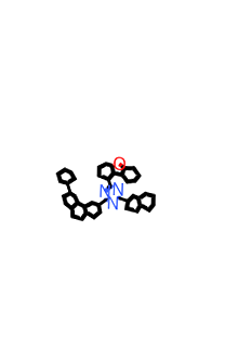 c1ccc(-c2ccc3ccc4ccc(-c5nc(-c6ccc7ccccc7c6)nc(-c6cccc7oc8ccccc8c67)n5)cc4c3c2)cc1